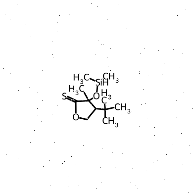 C[SiH](C)OC1(C)C(=S)OCC1C(C)(C)C